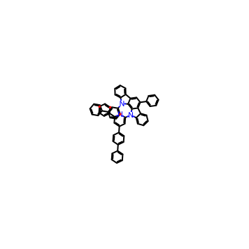 c1ccc(-c2ccc(-c3cc(-c4ccccc4)nc(-n4c5ccccc5c5c(-c6ccccc6)cc6c7ccccc7n(-c7cccc(-c8ccccc8)c7)c6c54)c3)cc2)cc1